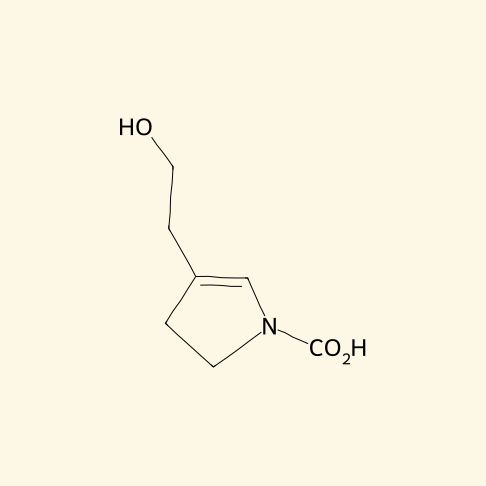 O=C(O)N1C=C(CCO)CC1